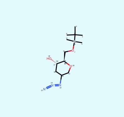 CC(C)(C)[Si](C)(C)OC[C@H]1OCC(N=[N+]=[N-])C[C@@H]1O